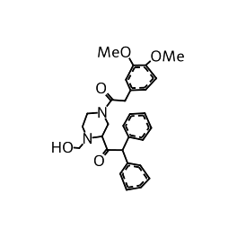 COc1ccc(CC(=O)N2CCN(CO)C(C(=O)C(c3ccccc3)c3ccccc3)C2)cc1OC